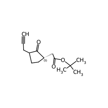 C#CCC1CC[C@@H](CC(=O)OC(C)(C)C)C1=O